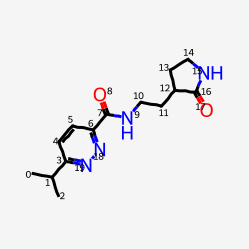 CC(C)c1ccc(C(=O)NCCC2CCNC2=O)nn1